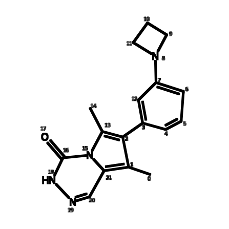 Cc1c(-c2cccc(N3CCC3)c2)c(C)n2c(=O)[nH]ncc12